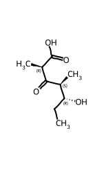 CC[C@@H](O)[C@H](C)C(=O)[C@@H](C)C(=O)O